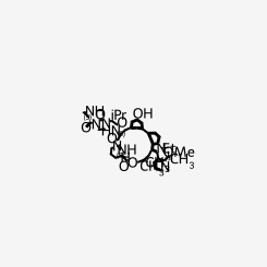 CCn1c(-c2cccnc2[C@H](C)OC)c2c3cc(ccc31)-c1cc(O)cc(c1)C[C@H](NC(=O)C(C(C)C)N1CCN(C(=O)[C@@H]3CN3)C1=O)C(=O)N1CCC[C@H](N1)C(=O)OCC(C)(C)C2